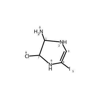 NC1NC=C(I)NC1Cl